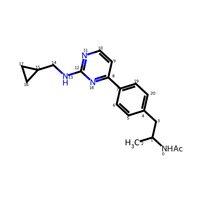 CC(=O)NC(C)Cc1ccc(-c2ccnc(NCC3CC3)n2)cc1